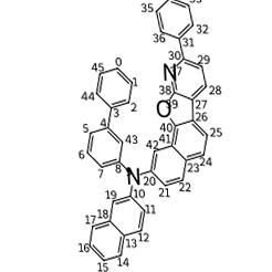 c1ccc(-c2cccc(N(c3ccc4ccccc4c3)c3ccc4ccc5c6ccc(-c7ccccc7)nc6oc5c4c3)c2)cc1